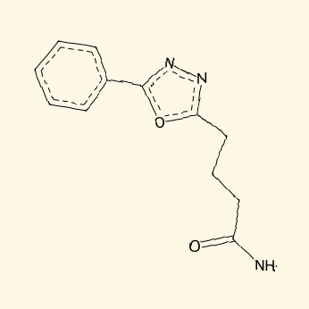 [NH]C(=O)CCCc1nnc(-c2ccccc2)o1